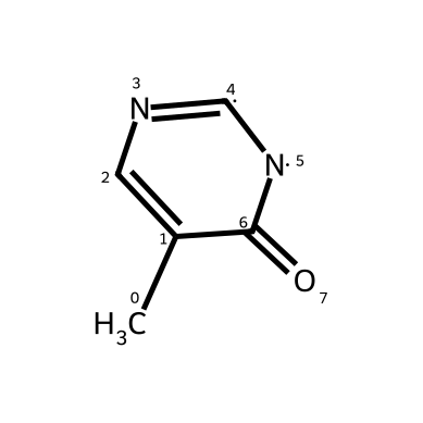 CC1=CN=[C][N]C1=O